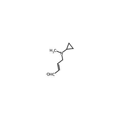 CN(C/C=C/[C]=O)C1CC1